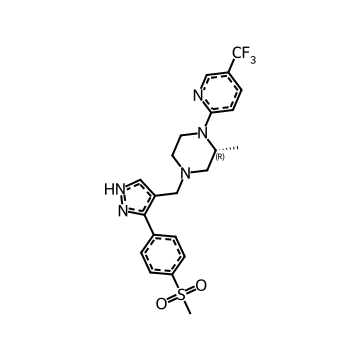 C[C@@H]1CN(Cc2c[nH]nc2-c2ccc(S(C)(=O)=O)cc2)CCN1c1ccc(C(F)(F)F)cn1